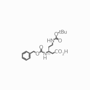 CC(C)(C)OC(=O)NCC[C@@H](CC(=O)O)NC(=O)OCc1ccccc1